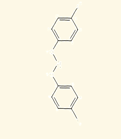 Ic1ccc([O][Zr][O]c2ccc(I)cc2)cc1